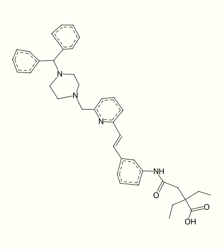 CCC(CC)(CC(=O)Nc1cccc(/C=C/c2cccc(CN3CCN(C(c4ccccc4)c4ccccc4)CC3)n2)c1)C(=O)O